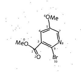 COC(=O)c1cc(OC)cnc1Br